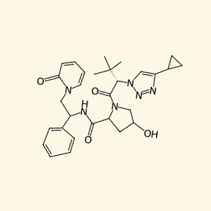 CC(C)(C)[C@@H](C(=O)N1CC(O)CC1C(=O)NC(Cn1ccccc1=O)c1ccccc1)n1cc(C2CC2)nn1